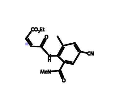 CCOC(=O)/C=C\C(=O)Nc1c(C)cc(C#N)cc1C(=O)NC